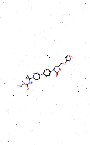 CC(C)(C)OC(=O)NC1(c2ccc(-c3ccc(N4CC(COc5ccon5)OC4=O)cc3)cn2)CC1